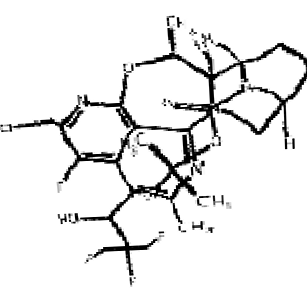 Cc1nc2c3c(nc(Cl)c(F)c3c1C(O)C(F)(F)F)O[C@@H](C)[C@@H]1[C@@H]3CC[C@H](CN21)N3C(=O)OC(C)(C)C